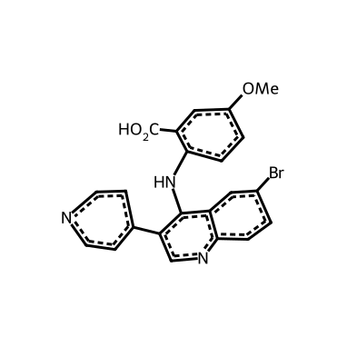 COc1ccc(Nc2c(-c3ccncc3)cnc3ccc(Br)cc23)c(C(=O)O)c1